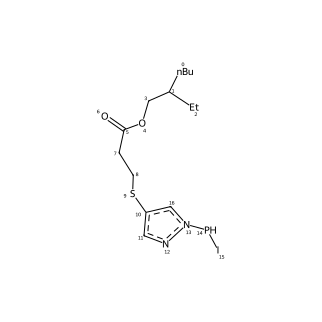 CCCCC(CC)COC(=O)CCSc1cnn(PI)c1